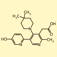 Cc1ncc(-c2ccc(O)cn2)c(N2CCC(C)(C)CC2)c1CC(=O)O